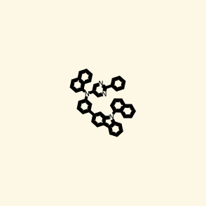 c1ccc(-c2ncc(N(c3cccc(-c4ccc5c6ccccc6n(-c6cccc7ccccc67)c5c4)c3)c3cccc4ccccc34)cn2)cc1